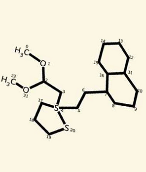 COC(CS1(CCC2CCCC3CCCCC32)CCCS1)OC